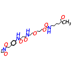 CC(C=O)CCCCNC(=O)OCCCOCCNC(=O)CC(=O)Nc1ccc(CC(=O)N2CCC2=O)cc1